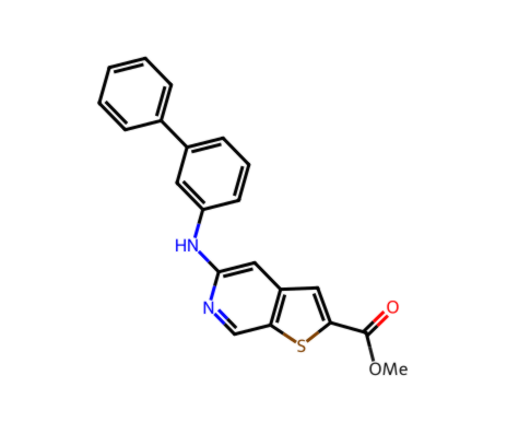 COC(=O)c1cc2cc(Nc3cccc(-c4ccccc4)c3)ncc2s1